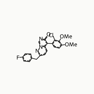 COc1ccc(-c2c(=O)ncn3nc(Cc4ccc(F)cc4)ccc23)c(Cl)c1OC